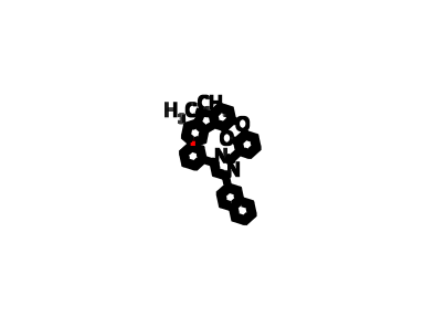 CC1(C)c2ccccc2-c2c1ccc1c2Oc2c(cccc2-c2nc(-c3ccccc3)cc(-c3ccc4ccccc4c3)n2)O1